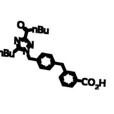 CCCCC(=O)c1nc(CCCC)n(Cc2ccc(Cc3cccc(C(=O)O)c3)cc2)n1